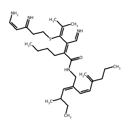 C=C(/C=C\C(=C/C(C)CC)CNC(=O)/C(CCCC)=C(\C=N)C(SCCC(=N)/C=C\N)=C(C)C)CCC